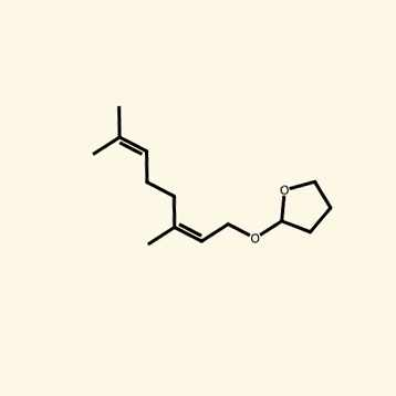 CC(C)=CCCC(C)=CCOC1CCCO1